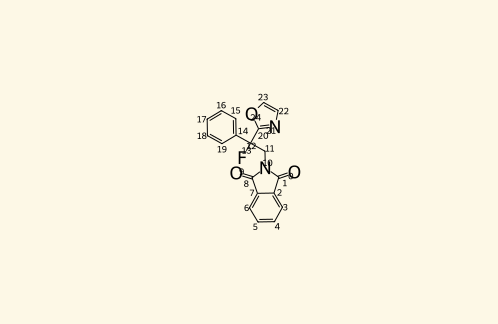 O=C1c2ccccc2C(=O)N1CC(F)(c1ccccc1)c1ncco1